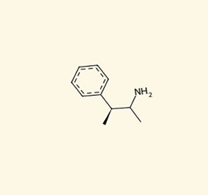 CC(N)[C@@H](C)c1ccccc1